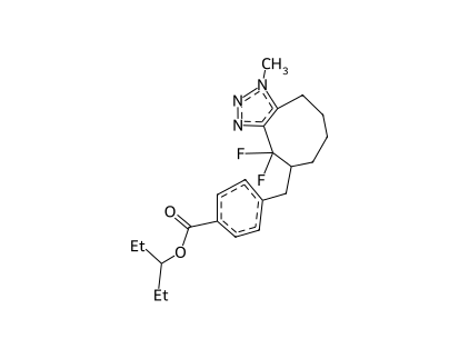 CCC(CC)OC(=O)c1ccc(CC2CCCCc3c(nnn3C)C2(F)F)cc1